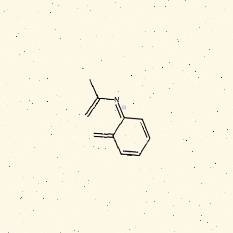 C=C(C)/N=C1/C=CC=CC1=C